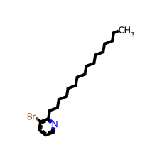 CCCCCCCCCCCCCCCCc1ncccc1Br